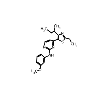 CCc1nc(C(C)CC)c(-c2ccnc(Nc3cccc(OC)c3)n2)s1